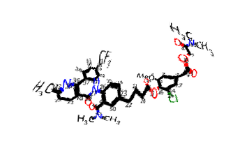 COc1cc(C(=O)OCC(=O)N(C)C)cc(Cl)c1OC(=O)CCCc1ccc(NC(=O)c2ccc(C)nc2-c2ccc(C(F)(F)F)cc2)c(C(=O)N(C)C)c1